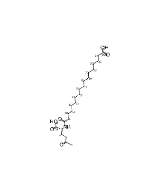 CC(=O)CC[C@H](NC(=O)CCCCCCCCCCCCCCCCC(=O)O)C(=O)O